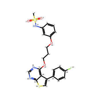 CS(=O)(=O)Nc1cccc(OCCCOc2ncnc3scc(-c4ccc(F)cc4)c23)c1